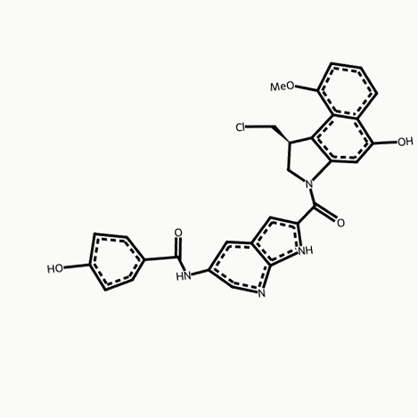 COc1cccc2c(O)cc3c(c12)[C@H](CCl)CN3C(=O)c1cc2cc(NC(=O)c3ccc(O)cc3)cnc2[nH]1